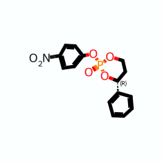 O=[N+]([O-])c1ccc(OP2(=O)OCC[C@H](c3ccccc3)O2)cc1